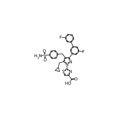 NS(=O)(=O)c1ccc(Cc2c(-c3cc(F)cc(-c4cccc(F)c4)c3)nn(-c3nc(C(=O)O)cs3)c2CC2CC2)cc1